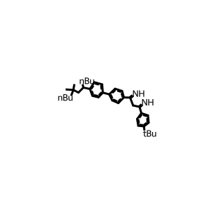 CCCCC(CC(C)(C)CCCC)c1ccc(-c2ccc(C(=N)CC(=N)c3ccc(C(C)(C)C)cc3)cc2)cc1